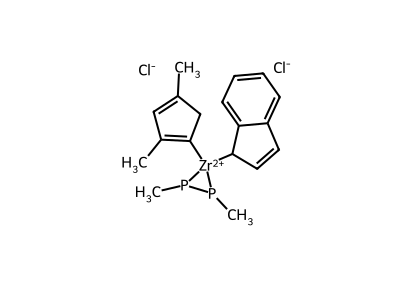 CC1=CC(C)=[C]([Zr+2]2([CH]3C=Cc4ccccc43)[P](C)[P]2C)C1.[Cl-].[Cl-]